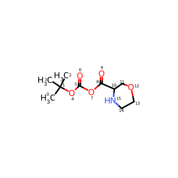 CC(C)(C)OC(=O)OC(=O)C1COCCN1